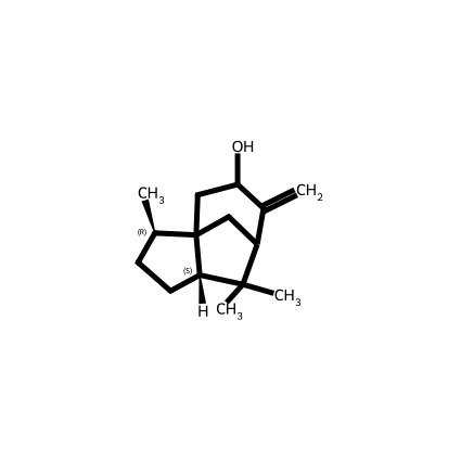 C=C1C(O)CC23CC1C(C)(C)[C@@H]2CC[C@H]3C